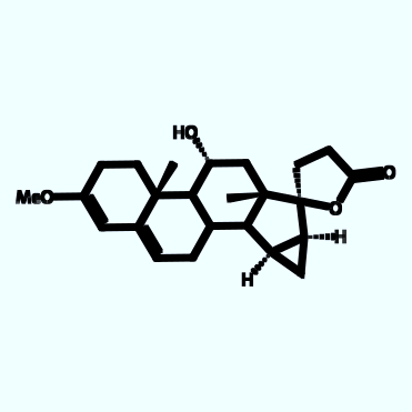 COC1=CC2=CCC3C([C@H](O)C[C@@]4(C)C3[C@@H]3C[C@@H]3[C@@]43CCC(=O)O3)[C@@]2(C)CC1